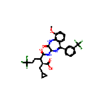 COc1cccc2c1NC(=O)C(NC(=O)C(CCC(F)(F)F)C(CC1CC1)C(=O)O)N=C2c1cccc(C(F)(F)F)c1